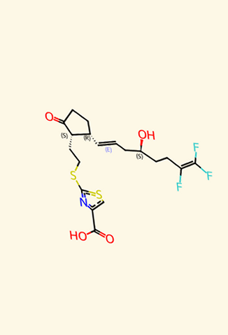 O=C(O)c1csc(SCC[C@@H]2C(=O)CC[C@@H]2/C=C/C[C@@H](O)CCC(F)=C(F)F)n1